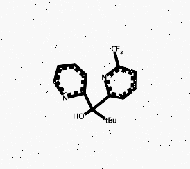 CC(C)(C)C(O)(c1ccccn1)c1cccc(C(F)(F)F)n1